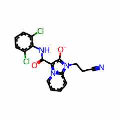 N#CCCn1c([O-])c(C(=O)Nc2c(Cl)cccc2Cl)[n+]2ccccc12